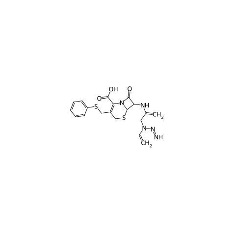 C=CN(CC(=C)NC1C(=O)N2C(C(=O)O)=C(CSc3ccccc3)CSC12)N=N